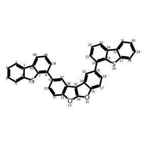 c1ccc2c(c1)sc1c(-c3ccc4oc5oc6ccc(-c7cccc8c7sc7ccccc78)cc6c5c4c3)cccc12